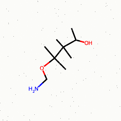 CC(O)C(C)(C)C(C)(C)OCN